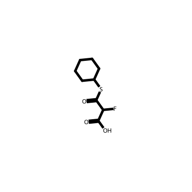 O=C(O)C(F)C(=O)SC1CCCCC1